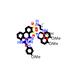 COc1ccc(CN(Cc2ccc(OC)cc2)S(=O)(=O)c2c(S(=O)(=O)N[C@H](C)CNC(=O)O)ccc(-c3cccc4[nH]c(N)nc34)c2-c2nnn(Cc3ccc(OC)cc3)n2)cc1